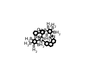 Bc1c(B)c(B)c(-c2nc(-c3ccc4ccc5ccc6nn(-c7c(B)c(B)c(B)c(B)c7B)nc6c5c4c3)nc(-c3cccc4oc5ccccc5c34)n2)c(B)c1B